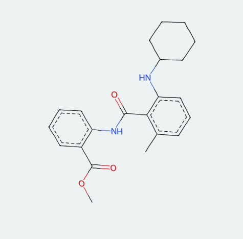 COC(=O)c1ccccc1NC(=O)c1c(C)cccc1NC1CCCCC1